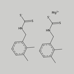 Cc1cccc(CNC(=S)[S-])c1C.Cc1cccc(CNC(=S)[S-])c1C.[Mg+2]